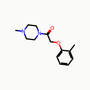 Cc1ccccc1OCC(=O)N1CCN(C)CC1